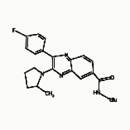 CC1CCCN1c1nc2cc(C(=O)NC(C)(C)C)ccc2nc1-c1ccc(F)cc1